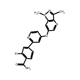 CCc1cc(-c2cc(Oc3cnc4c(C)nn(C)c4c3)ccn2)ccc1C(N)=O